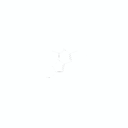 CSC1=CC2=CN(SC)NN2C(C)=N1